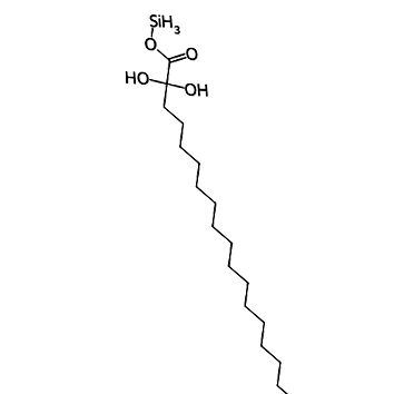 CCCCCCCCCCCCCCCCC(O)(O)C(=O)O[SiH3]